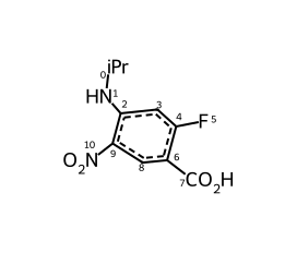 CC(C)Nc1cc(F)c(C(=O)O)cc1[N+](=O)[O-]